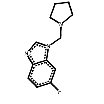 Fc1ccc2ncn(CN3CCCC3)c2c1